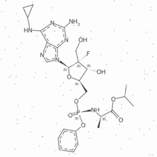 CC(C)OC(=O)[C@@H](C)N[P@@](=O)(OC[C@H]1O[C@@H](n2cnc3c(NC4CC4)nc(N)nc32)[C@@](F)(CO)[C@@H]1O)Oc1ccccc1